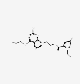 CCn1nc(C)cc1C(=O)NCCn1cnc2c(NCCO)nc(N)nc21